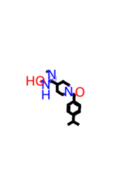 C/N=C(\NO)C1CCN(C(=O)c2ccc(C(C)C)cc2)CC1